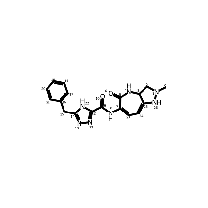 CN1CC2NC(=O)C(NC(=O)c3nnc(Cc4ccccc4)[nH]3)=CC=C2N1